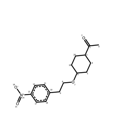 CC(=O)C1CCC(OCCc2ccc([N+](=O)[O-])cc2)CC1